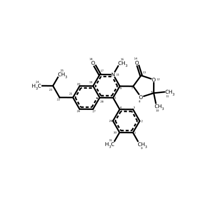 Cc1ccc(-c2c(C3OC(C)(C)OC3=O)n(C)c(=O)c3cc(CC(C)C)ccc23)cc1C